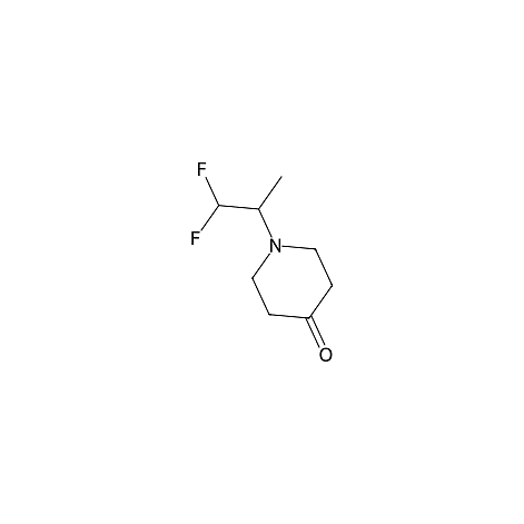 CC(C(F)F)N1CCC(=O)CC1